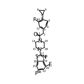 O=C(Cc1ccc(C2CC2)c(F)c1)N1CCN(c2nc3c(F)cc(F)cc3s2)CC1